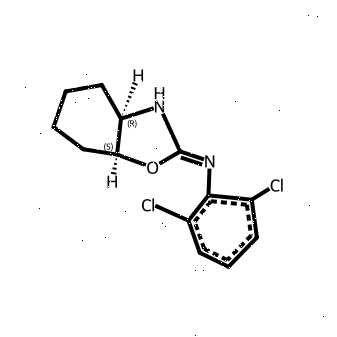 Clc1cccc(Cl)c1N=C1N[C@@H]2CCCC[C@@H]2O1